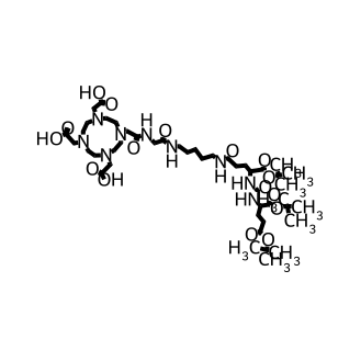 CC(C)(C)OC(=O)CCC(NC(=O)NC(CCC(=O)NCCCCCNC(=O)CNC(=O)CN1CCN(CC(=O)O)CCN(CC(=O)O)CCN(CC(=O)O)CC1)C(=O)OC(C)(C)C)C(=O)OC(C)(C)C